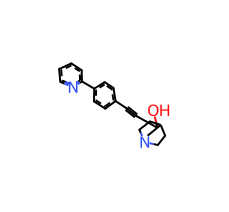 OC1(C#Cc2ccc(-c3ccccn3)cc2)CN2CCC1CC2